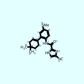 [C-]#[N+]c1c[nH]c(C(=O)Nc2ccc(SC)cc2C2=CCC(C)(C)CC2)n1